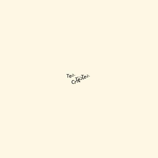 [Cr+3].[Te+2].[Te-2].[Te-2]